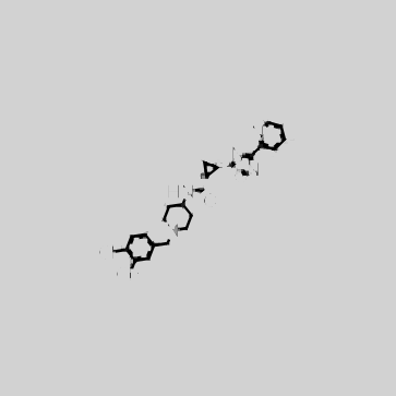 O=C(NC1CCN(Cc2ccc(Cl)c(Cl)c2)CC1)[C@@H]1C[C@@H]1c1nc(-c2ccccn2)no1